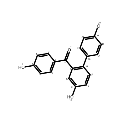 O=C(c1ccc(O)cc1)c1cc(O)ccc1-c1ccc(Cl)cc1